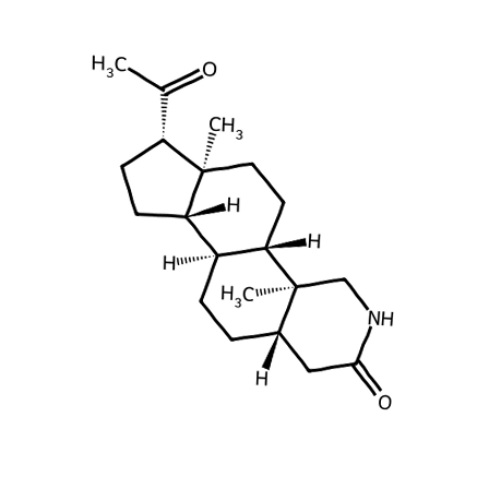 CC(=O)[C@H]1CC[C@H]2[C@@H]3CC[C@H]4CC(=O)NC[C@]4(C)[C@H]3CC[C@]12C